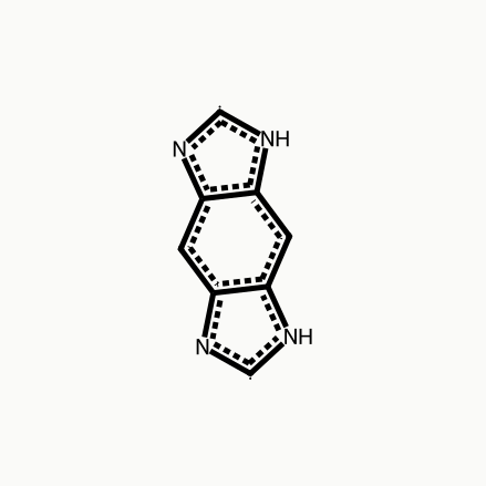 [c]1nc2cc3n[c][nH]c3cc2[nH]1